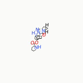 N#C[C@@H]1C[C@@H]2C[C@@H]2N1C(=O)[C@@H](N)C12CC3CC(OC(=O)[C@@H]4CCCCN4)=C1C(C3)C2